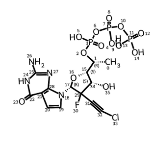 C[C@@H](OP(=O)(O)OP(=O)(O)OP(=O)(O)O)[C@H]1O[C@@H](n2ccc3c(=O)[nH]c(N)nc32)C(F)(C#CCl)[C@H]1O